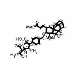 COC(=O)/C=C/c1ccc(C2(OC)OOC23C2CC4CC(C2)CC3C4)c(Cl)c1OCc1ccc(C2=C(C(=O)O)N3C(=O)C([C@@H](C)O)[C@H]3[C@H]2C)cc1